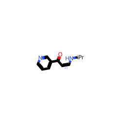 CC(C)N/C=C\C(=O)c1cccnc1